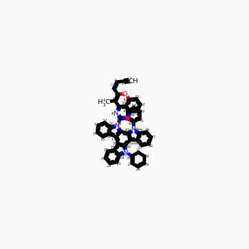 C#C/C=C\C1=C(C)c2nc(-n3c4ccccc4c4c5c6ccccc6n(C6=CC=CCC6)c5c5c6ccccc6n(-c6ccccc6)c5c43)nc3cccc(c23)O1